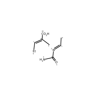 CC=NC(N)=O.CCC=C(C)C(=O)O